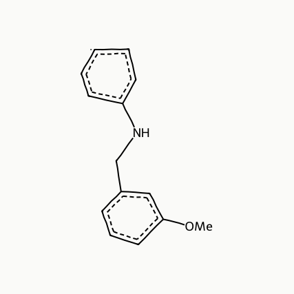 COc1cccc(CNc2cc[c]cc2)c1